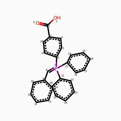 O=C(O)c1ccc(P(=Cc2ccccc2)(c2ccccc2)c2ccccc2)cc1